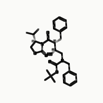 CC(C)[C@H]1COC(=O)N1C(=O)[C@H](Cc1ccccc1)[C@@H](O)CN(Cc1ccccc1)C(=O)OC(C)(C)C